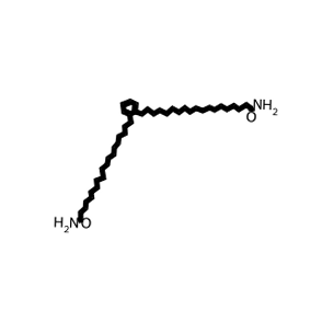 NC(=O)CCCCCCCCCCCCCCCCCCc1ccccc1CCCCCCCCCCCCCCCCCCC(N)=O